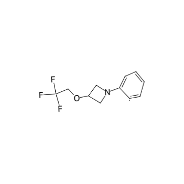 FC(F)(F)COC1CN(c2[c]cccc2)C1